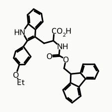 CCOc1ccc(-c2[nH]c3ccccc3c2CC(NC(=O)OCC2c3ccccc3-c3ccccc32)C(=O)O)cc1